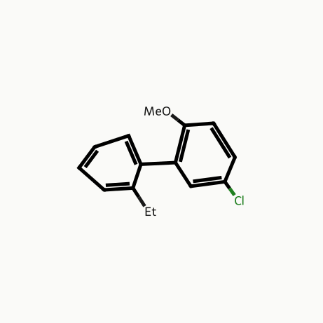 CCc1ccccc1-c1cc(Cl)ccc1OC